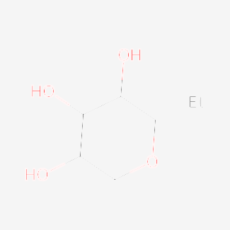 CC[C@@H]1OCC(O)C(O)C1O